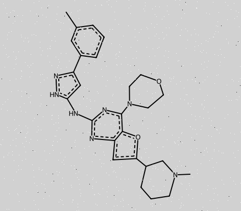 Cc1cccc(-c2cc(Nc3nc(N4CCOCC4)c4oc(C5CCCN(C)C5)cc4n3)[nH]n2)c1